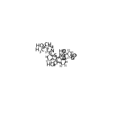 CC(C)(O)c1ccnc(-c2cccc3cc([C@H](NS(=O)(=O)[C@H]4CCS(=O)(=O)C4)c4ccccc4Cl)sc23)c1.Cl